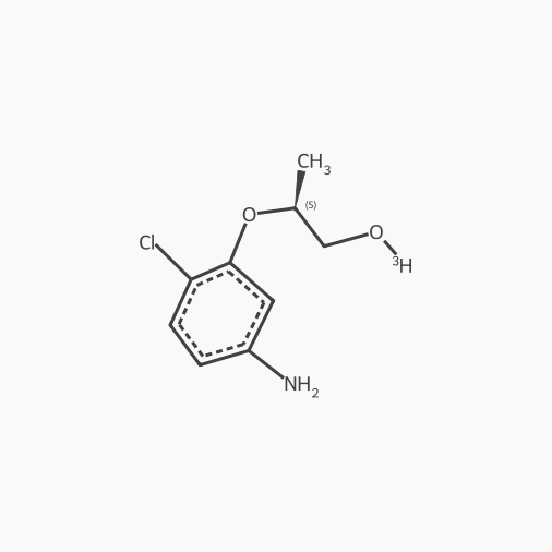 [3H]OC[C@H](C)Oc1cc(N)ccc1Cl